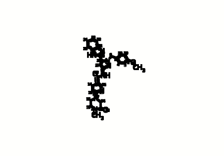 COc1ccc(Cn2nc(NC(=O)c3ccc(N4CCN(C)C(=O)C4)nc3)cc2-c2nc3ccccc3[nH]2)cc1